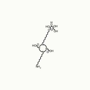 NCCCCCCCCCCN1CCCN(CC(=O)O)CCN(CCCCCCCCCCOC2OC(CO)C(O)C(O)C2O)CCCN(CC(=O)O)CC1